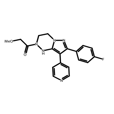 COCC(=O)N1CCn2nc(-c3ccc(F)cc3)c(-c3ccncc3)c2N1